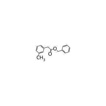 Cc1cccc(CC(=O)OCc2ccccc2)c1